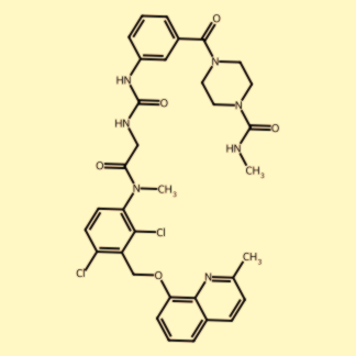 CNC(=O)N1CCN(C(=O)c2cccc(NC(=O)NCC(=O)N(C)c3ccc(Cl)c(COc4cccc5ccc(C)nc45)c3Cl)c2)CC1